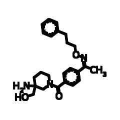 CC(=NOCCCc1ccccc1)c1ccc(C(=O)N2CCCC(N)(CO)C2)cc1